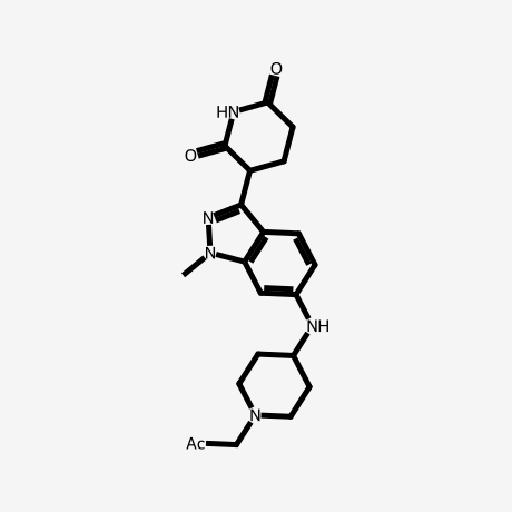 CC(=O)CN1CCC(Nc2ccc3c(C4CCC(=O)NC4=O)nn(C)c3c2)CC1